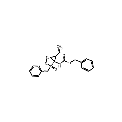 C=CC1CC1(NC(=O)OCc1ccccc1)P(=O)(Cc1ccccc1)OCC